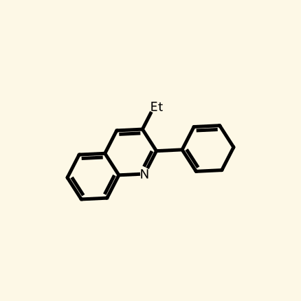 CCc1cc2ccccc2nc1C1=CCCC=C1